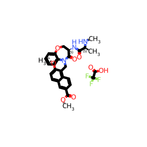 CN[C@@H](C)C(=O)N[C@H]1COc2ccccc2N(Cc2c(OC)ccc3cc(C(=O)OC)ccc23)C1=O.O=C(O)C(F)(F)F